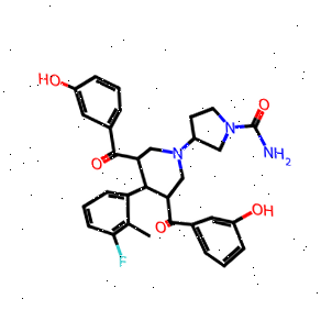 Cc1c(F)cccc1C1C(C(=O)c2cccc(O)c2)CN(C2CCN(C(N)=O)C2)CC1C(=O)c1cccc(O)c1